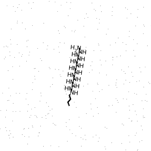 CCCCNNNNNNNNNNNNNN